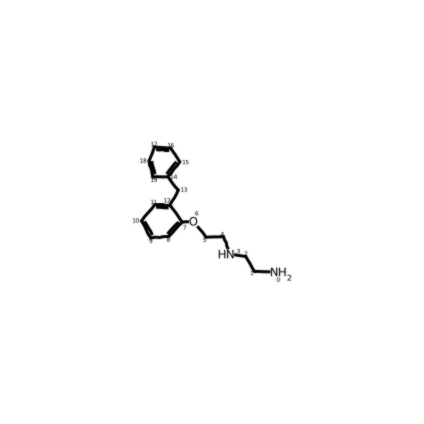 NCCNCCOc1ccccc1Cc1ccccc1